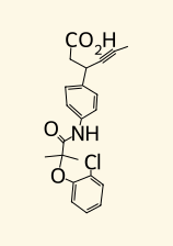 CC#CC(CC(=O)O)c1ccc(NC(=O)C(C)(C)Oc2ccccc2Cl)cc1